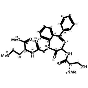 CN[C@@H](CS)C(=O)NC1N=C(c2ccccc2)c2ccccc2N(CC(=O)N[C@@H](CCSC)C(=O)OC)C1=O